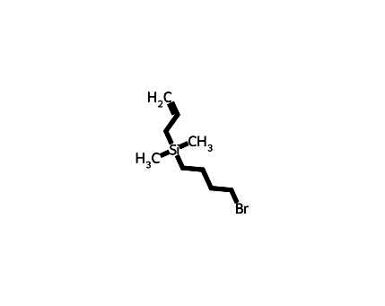 C=CC[Si](C)(C)CCCCBr